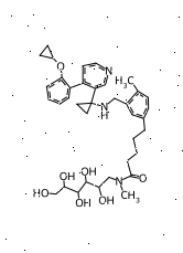 Cc1ccc(CCCCC(=O)N(C)CC(O)C(O)C(O)C(O)CO)cc1CNC1(c2cnccc2-c2ccccc2OC2CC2)CC1